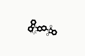 Cc1cc2cc(N3C(=O)c4ccccc4C3=O)ccc2cc1-n1c2ccccc2c2ccccc21